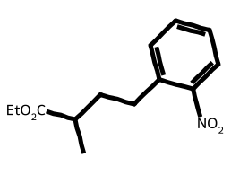 CCOC(=O)C(C)CCc1ccccc1[N+](=O)[O-]